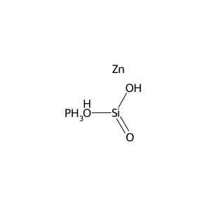 O=[Si](O)O.P.[Zn]